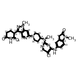 CN1C(=O)Cc2cc(Nc3nc(N(C)C4CCN(c5cc6c(cn5)c(C5CCC(=O)NC5=O)nn6C)CC4)ncc3Cl)ccc21